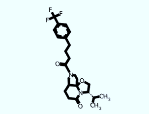 CC(C)[C@H]1COC23CCN(C(=O)CCCc4ccc(C(F)(F)F)cc4)CC2CCC(=O)N13